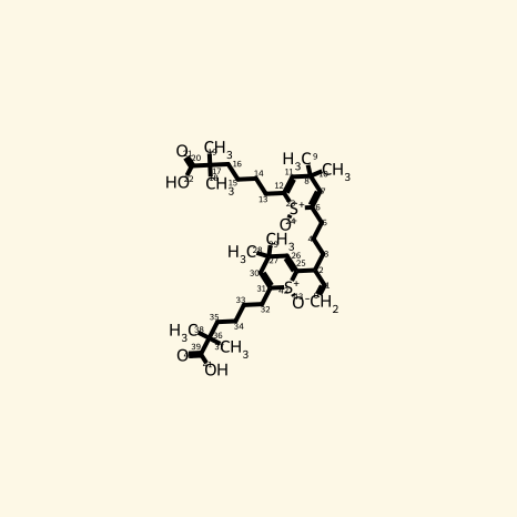 C=CC(CCCC1=CC(C)(C)C=C(CCCCC(C)(C)C(=O)O)[S+]1[O-])C1=CC(C)(C)C=C(CCCCC(C)(C)C(=O)O)[S+]1[O-]